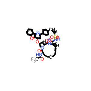 Cc1ccc(-c2cc(O[C@@H]3C[C@H]4C(=O)N[C@]5(C(=O)NS(=O)(=O)C6CC6)C[C@H]5/C=C\CCCCC[C@H](NC(=O)C(F)(F)F)C(=O)N4C3)c3oc4ccccc4c3n2)cc1